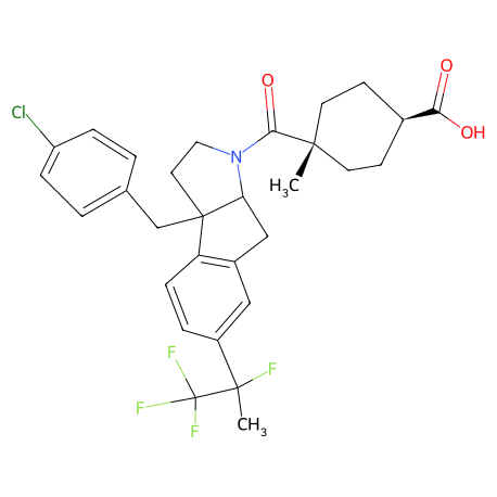 CC(F)(c1ccc2c(c1)CC1N(C(=O)[C@]3(C)CC[C@@H](C(=O)O)CC3)CCC21Cc1ccc(Cl)cc1)C(F)(F)F